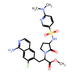 COC(=O)C(Cc1cc2ccnc(N)c2cc1F)N1CCC(NS(=O)(=O)c2ccc(N(C)C)nc2)C1=O